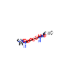 CC(=O)CNC(=O)C(NC(=O)CCOCCOCCOCCOCCNC(=O)CCN(C)C(=O)/C=C\C=O)C(C)C